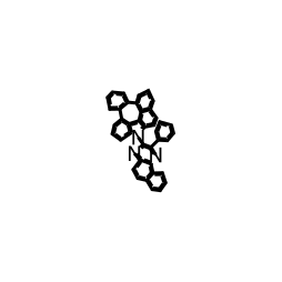 c1ccc(-c2nc3c(ccc4ccccc43)nc2-n2c3cccc4c3c3c5c(cccc5ccc32)-c2ccccc2-4)cc1